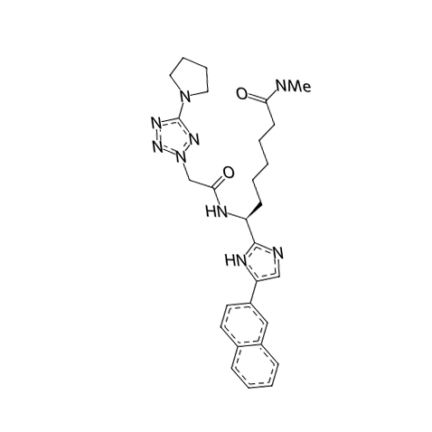 CNC(=O)CCCCC[C@H](NC(=O)Cn1nnc(N2CCCC2)n1)c1ncc(-c2ccc3ccccc3c2)[nH]1